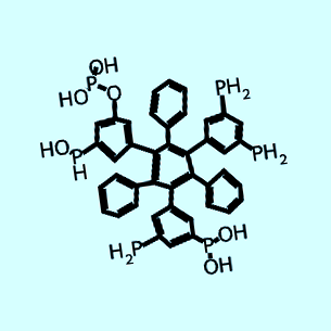 OPc1cc(OP(O)O)cc(-c2c(-c3ccccc3)c(-c3cc(P)cc(P)c3)c(-c3ccccc3)c(-c3cc(P)cc(P(O)O)c3)c2-c2ccccc2)c1